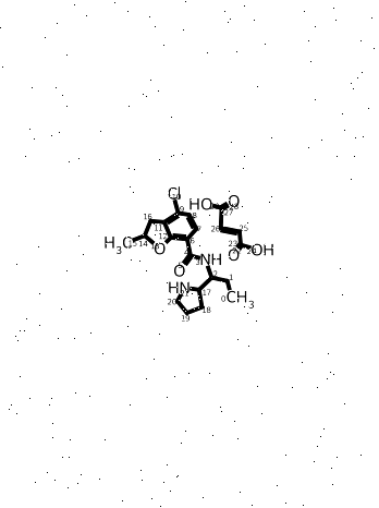 CCC(NC(=O)c1ccc(Cl)c2c1OC(C)C2)C1CCCN1.O=C(O)C=CC(=O)O